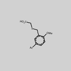 COc1ccc(C(C)=O)cc1CSCC(=O)O